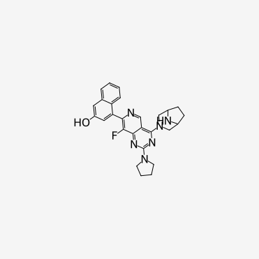 Oc1cc(-c2ncc3c(N4CC5CCC(C4)N5)nc(N4CCCC4)nc3c2F)c2ccccc2c1